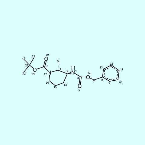 C[C@@H]1[C@@H](NC(=O)OCc2ccccc2)CCCN1C(=O)OC(C)(C)C